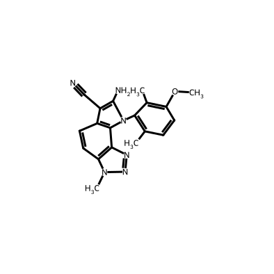 COc1ccc(C)c(-n2c(N)c(C#N)c3ccc4c(nnn4C)c32)c1C